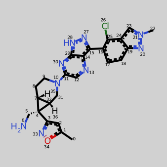 Cc1cc([C@@]2(CN)[C@@H]3CCN(c4cnc5c(-c6ccc7nn(C)cc7c6Cl)n[nH]c5n4)C[C@@H]32)no1